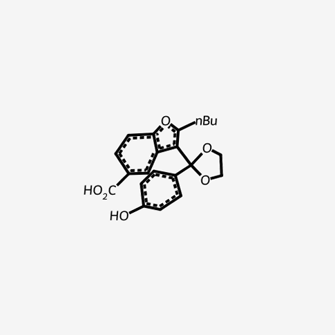 CCCCc1oc2ccc(C(=O)O)cc2c1C1(c2ccc(O)cc2)OCCO1